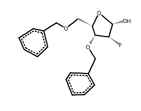 O[C@H]1O[C@@H](COCc2ccccc2)[C@@H](OCc2ccccc2)[C@H]1F